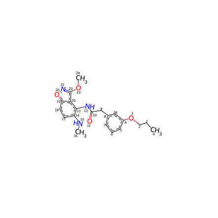 CCCOc1cccc(CC(=O)Nc2c(NC)ccc3onc(OC)c23)c1